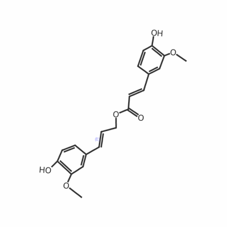 COc1cc(C=CC(=O)OC/C=C/c2ccc(O)c(OC)c2)ccc1O